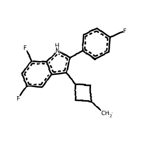 [CH2]C1CC(c2c(-c3ccc(F)cc3)[nH]c3c(F)cc(F)cc23)C1